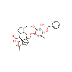 CC(C)C1=CC2CC3(C=O)C4CCC(C)C4CC2(CO[C@@H]2O[C@H](C)[C@@H](OCc4ccccc4)[C@@H](O)[C@@H]2O)C13C(=O)O